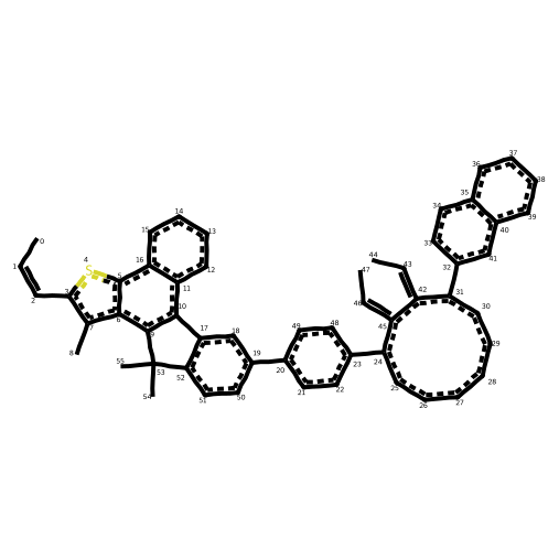 C/C=C\c1sc2c(c1C)c1c(c3ccccc32)-c2cc(-c3ccc(-c4ccccccc(-c5ccc6ccccc6c5)c(=C/C)/c4=C\C)cc3)ccc2C1(C)C